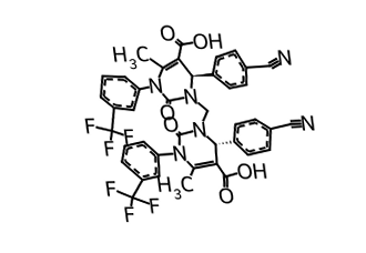 CC1=C(C(=O)O)[C@@H](c2ccc(C#N)cc2)N(CN2C(=O)N(c3cccc(C(F)(F)F)c3)C(C)=C(C(=O)O)[C@H]2c2ccc(C#N)cc2)C(=O)N1c1cccc(C(F)(F)F)c1